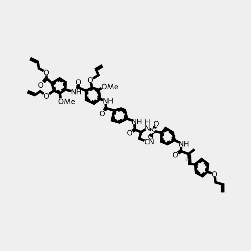 C=CCOC(=O)c1ccc(NC(=O)c2ccc(NC(=O)c3ccc(NC(=O)C(CC#N)NS(=O)(=O)c4ccc(NC(=O)/C(C)=C/c5ccc(OCC=C)cc5)cc4)cc3)c(OC)c2OCC=C)c(OC)c1OCC=C